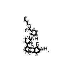 CCCCOC(=O)N1CCC[C@H](Nc2nccc(-c3cccnc3Oc3c(Cl)ccc(N)c3F)n2)C1